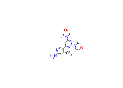 C[C@@H]1COCCN1c1cc(-c2cnc(N)cc2C(F)(F)F)nc(N2CCOC[C@@H]2C)n1